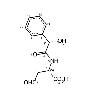 O=CC[C@H](NC(=O)[C@@H](O)c1ccccc1)C(=O)O